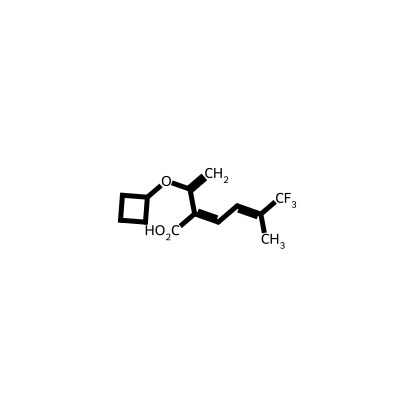 C=C(OC1CCC1)/C(=C\C=C(/C)C(F)(F)F)C(=O)O